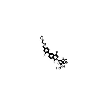 COCCNCc1ccc(-c2ccc3c(=O)n(CCC(C)(C(=O)NO)S(C)(=O)=O)cc(F)c3c2)c(F)c1